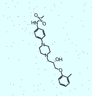 Cc1ccccc1OC[C@@H](O)CN1CCN(c2ccc(NS(C)(=O)=O)cc2)CC1